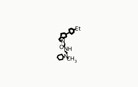 CCc1ccc(-c2ccc3ccn(CC(=O)NCCN(C)C4CCCCC4)c3c2)cc1